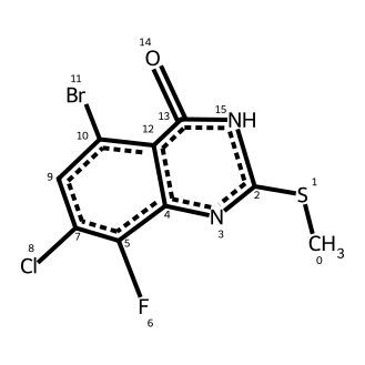 CSc1nc2c(F)c(Cl)cc(Br)c2c(=O)[nH]1